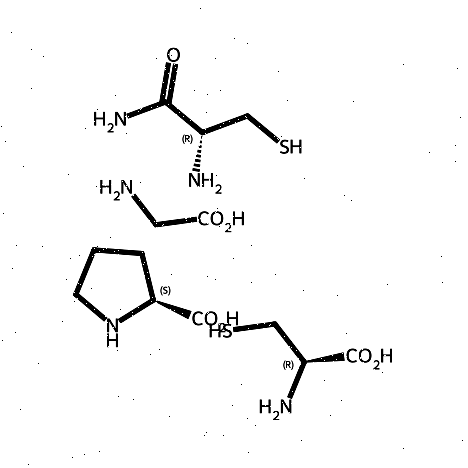 NC(=O)[C@@H](N)CS.NCC(=O)O.N[C@@H](CS)C(=O)O.O=C(O)[C@@H]1CCCN1